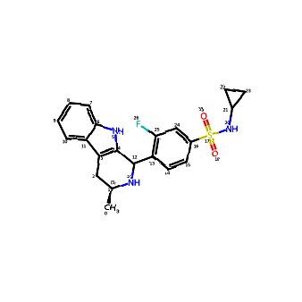 C[C@H]1Cc2c([nH]c3ccccc23)C(c2ccc(S(=O)(=O)NC3CC3)cc2F)N1